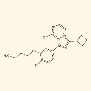 CCCCOc1cc(-c2nc(C3CCC3)n3ccnc(Cl)c23)ccc1F